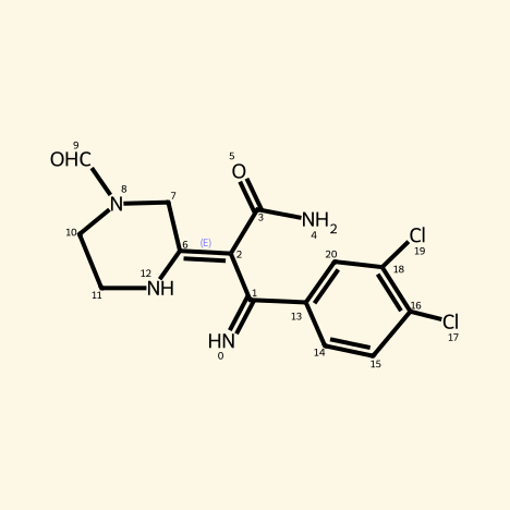 N=C(/C(C(N)=O)=C1/CN(C=O)CCN1)c1ccc(Cl)c(Cl)c1